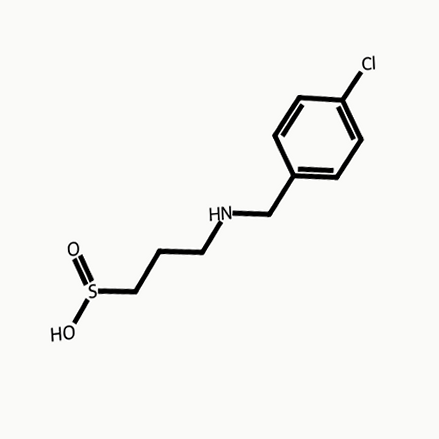 O=S(O)CCCNCc1ccc(Cl)cc1